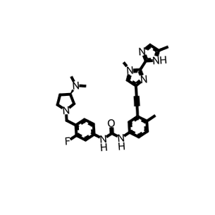 Cc1cnc(-c2nc(C#Cc3cc(NC(=O)Nc4ccc(CN5CC[C@@H](N(C)C)C5)c(F)c4)ccc3C)cn2C)[nH]1